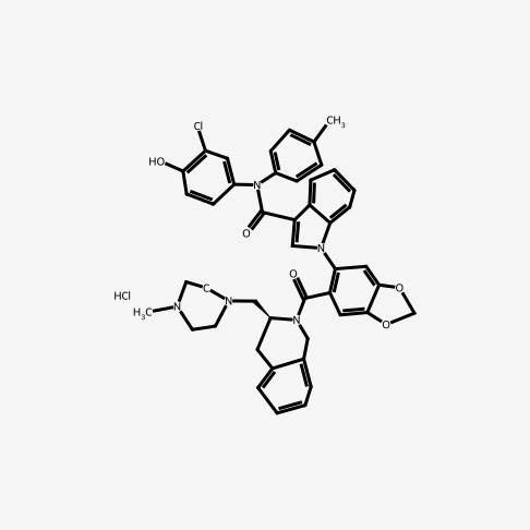 Cc1ccc(N(C(=O)c2cn(-c3cc4c(cc3C(=O)N3Cc5ccccc5C[C@H]3CN3CCN(C)CC3)OCO4)c3ccccc23)c2ccc(O)c(Cl)c2)cc1.Cl